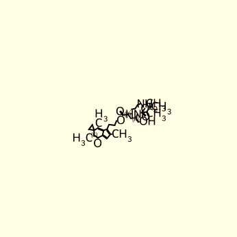 CC1=C(CCCOC(=O)[C@H](CCCN)C[C@H](CO)NC(=O)OC(C)(C)C)C2=C(C)C3(CC3)[C@H](C)C(=O)C2=C1